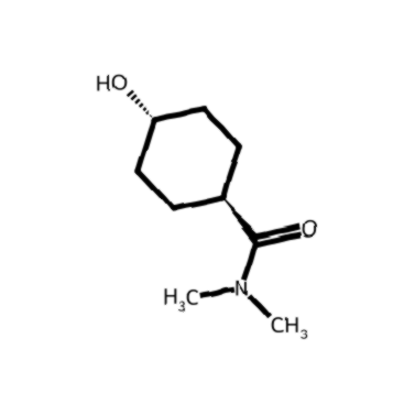 CN(C)C(=O)[C@H]1CC[C@H](O)CC1